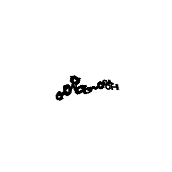 C=C(C)C(O)Oc1ccc(CCOc2ccc(N(c3ccccc3)c3ccc(-c4ccccc4)cc3)cc2)cc1